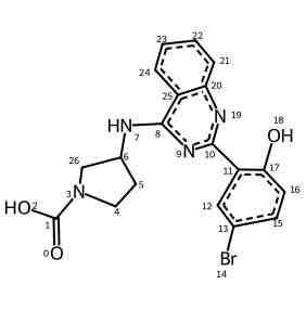 O=C(O)N1CCC(Nc2nc(-c3cc(Br)ccc3O)nc3ccccc23)C1